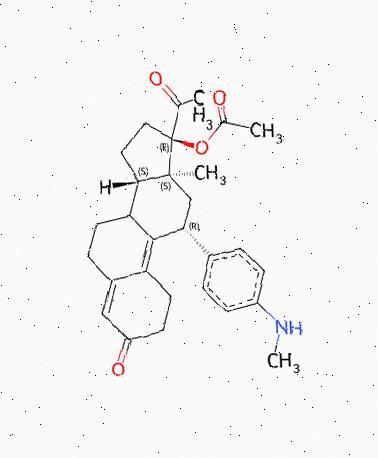 CNc1ccc([C@H]2C[C@@]3(C)[C@@H](CC[C@]3(OC(C)=O)C(C)=O)C3CCC4=CC(=O)CCC4=C32)cc1